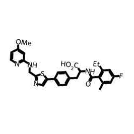 CCc1cc(F)cc(C)c1C(=O)NC(Cc1ccc(-c2cnc(CNc3cc(OC)ccn3)s2)cc1)C(=O)O